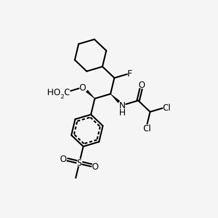 CS(=O)(=O)c1ccc([C@@H](OC(=O)O)[C@H](NC(=O)C(Cl)Cl)C(F)C2CCCCC2)cc1